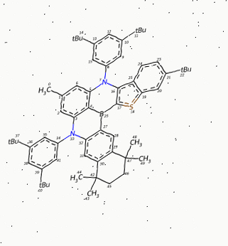 Cc1cc2c3c(c1)N(c1cc(C(C)(C)C)cc(C(C)(C)C)c1)c1c(sc4cc(C(C)(C)C)ccc14)B3c1cc3c(cc1N2c1cc(C(C)(C)C)cc(C(C)(C)C)c1)C(C)(C)CCC3(C)C